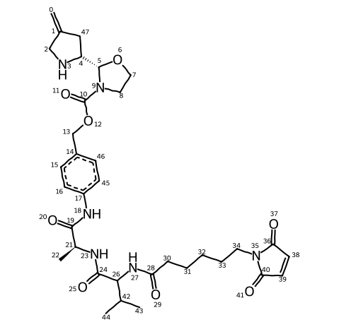 C=C1CNC([C@@H]2OCCN2C(=O)OCc2ccc(NC(=O)[C@H](C)NC(=O)C(NC(=O)CCCCCN3C(=O)C=CC3=O)C(C)C)cc2)C1